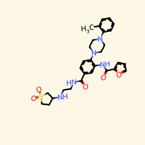 Cc1ccccc1N1CCN(c2ccc(C(=O)NCCNC3CCS(=O)(=O)C3)cc2NC(=O)c2ccco2)CC1